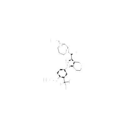 COc1ccc(-n2nc(C(=O)N3CCCN(C)CC3)c3c2CCOC3)cc1C(F)(F)F